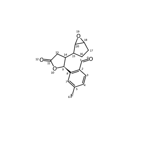 O=Cc1ccc(F)cc1[C@H]1OC(=O)CC1C1CCC2OC21